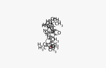 CNC(=O)c1ncnn1[C@@H]1C[C@@]23COC[C@@](C)([C@@H]2CC[C@H]2C3=CC[C@@]3(C)[C@H](C(=O)O)[C@@](C)([C@H](C)C(C)C)CC[C@]23C)[C@H]1OC[C@](C)(NC)C(C)C